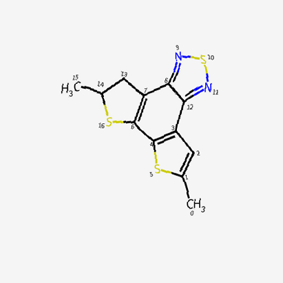 Cc1cc2c(s1)c1c(c3nsnc32)CC(C)S1